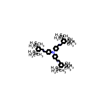 C[Si](C)(C)c1cc(/C=C/c2ccc(N(c3ccc(/C=C/c4cc([Si](C)(C)C)cc([Si](C)(C)C)c4)cc3)c3ccc(/C=C/c4cc([Si](C)(C)C)cc([Si](C)(C)C)c4)cc3)cc2)cc([Si](C)(C)C)c1